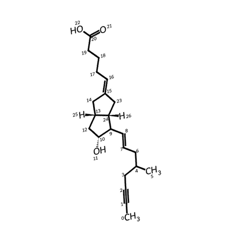 CC#CCC(C)C/C=C/C1[C@H](O)C[C@@H]2C/C(=C\CCCC(=O)O)C[C@H]12